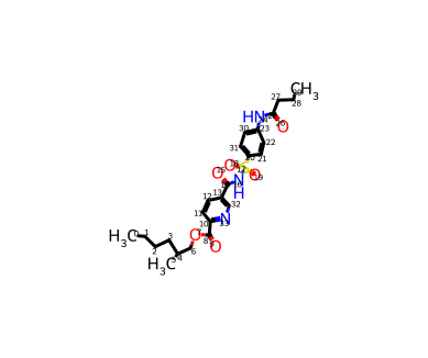 CCCCC(C)COC(=O)c1ccc(C(=O)NS(=O)(=O)c2ccc(NC(=O)CCC)cc2)cn1